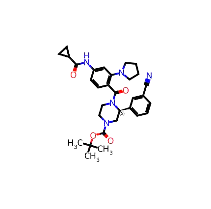 CC(C)(C)OC(=O)N1CCN(C(=O)c2ccc(NC(=O)C3CC3)cc2N2CCCC2)[C@@H](c2cccc(C#N)c2)C1